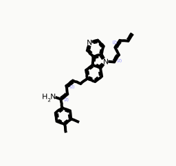 C=C/C=C\C=C/n1c2ccncc2c2cc(C/C=C\C=C(/N)c3ccc(C)c(C)c3)ccc21